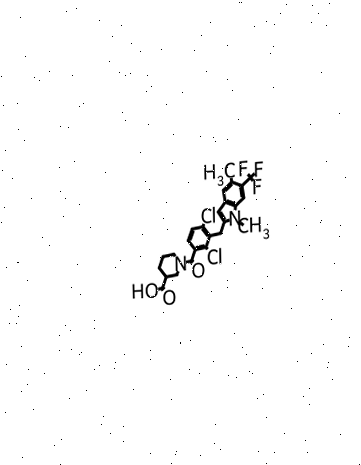 Cc1cc2cc(Cc3c(Cl)ccc(C(=O)N4CCCC(C(=O)O)C4)c3Cl)n(C)c2cc1C(F)(F)F